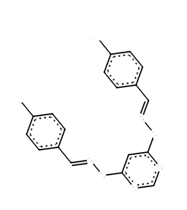 Cl.Clc1ccc(/C=N/Nc2cc(N/N=C/c3ccc(Cl)cc3)ncn2)cc1